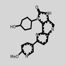 COc1ccc(-c2ccc3ncc4[nH]c(=O)n(C5CCC(O)CC5)c4c3n2)cn1